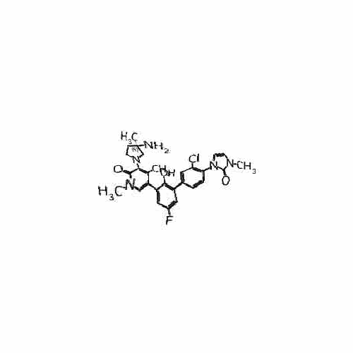 Cc1c(-c2cc(F)cc(-c3ccc(-n4ccn(C)c4=O)c(Cl)c3)c2O)cn(C)c(=O)c1N1CC[C@@](C)(N)C1